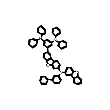 c1ccc(-c2cccc(N(c3ccc4c(c3)oc3ccc(-c5cc(N(c6ccccc6)c6ccccc6)cc(N(c6ccccc6)c6ccccc6)c5)cc34)c3ccc4sc5ccccc5c4c3)c2)cc1